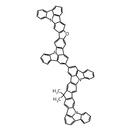 CC1(C)c2cc3c4cccc5c6ccccc6n(c3cc2-c2cc3c(cc21)c1cc(-c2cc6c7ccccc7n7c8cc9c(cc8c(c2)c67)oc2cc6c7cccc8c%10ccccc%10n(c6cc29)c87)cc2c6ccccc6n3c21)c54